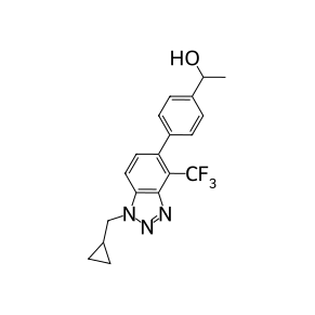 CC(O)c1ccc(-c2ccc3c(nnn3CC3CC3)c2C(F)(F)F)cc1